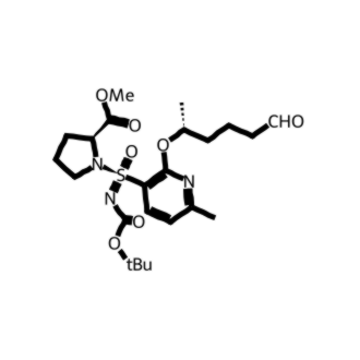 COC(=O)[C@@H]1CCCN1[S@](=O)(=NC(=O)OC(C)(C)C)c1ccc(C)nc1O[C@H](C)CCCC=O